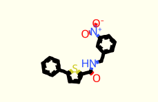 O=C(NCc1cccc([N+](=O)[O-])c1)c1ccc(-c2ccccc2)s1